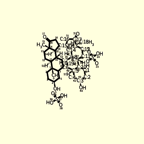 C[C@]12CC[C@H](O)CC1CC[C@@H]1[C@@H]2CC[C@]2(C)C(=O)CC[C@@H]12.O=S(=O)(O)O.O=S(=O)(O)O.O=[C:17]1[C@@:13]2([CH3:18])[CH2:12][CH2:11][C@H:9]3[C@@H:8]([CH2:7][CH2:6][C@H:5]4[CH2:4][C@H:3](O)[CH2:2][CH2:1][C@@:10]43[CH3:19])[C@@H:14]2[CH2:15][CH2:16]1